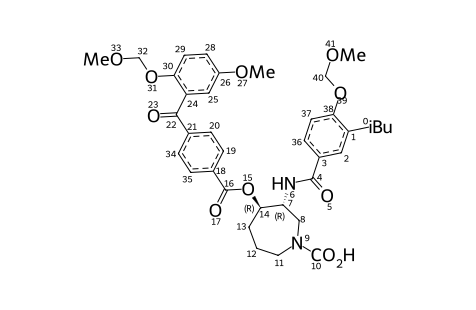 CCC(C)c1cc(C(=O)N[C@@H]2CN(C(=O)O)CCC[C@H]2OC(=O)c2ccc(C(=O)c3cc(OC)ccc3OCOC)cc2)ccc1OCOC